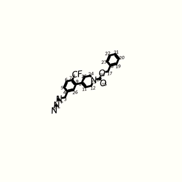 [N-]=[N+]=NCc1ccc(C(F)(F)F)c(C2=CCN(C(=O)OCc3ccccc3)CC2)c1